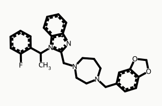 CC(c1ccccc1F)n1c(CN2CCCN(Cc3ccc4c(c3)OCO4)CC2)nc2ccccc21